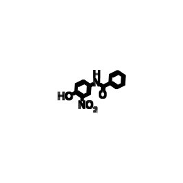 O=C(Nc1ccc(O)c([N+](=O)[O-])c1)c1ccccc1